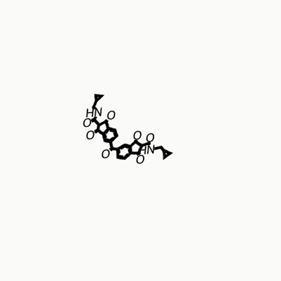 O=C(c1ccc2c(c1)C(=O)C(C(=O)NCC1CC1)C2=O)c1ccc2c(c1)C(=O)C(C(=O)NCC1CC1)C2=O